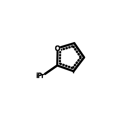 CC(C)c1[c]cco1